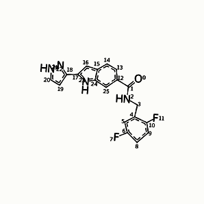 O=C(NCc1cc(F)ccc1F)c1ccc2cc(-c3cc[nH]n3)[nH]c2c1